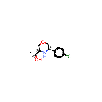 C[C@@H](O)[C@H]1COC[C@@H](c2ccc(Cl)cc2)N1